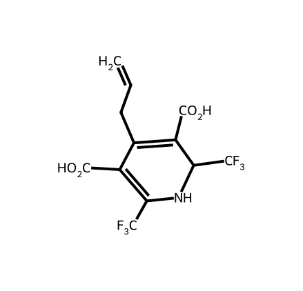 C=CCC1=C(C(=O)O)C(C(F)(F)F)NC(C(F)(F)F)=C1C(=O)O